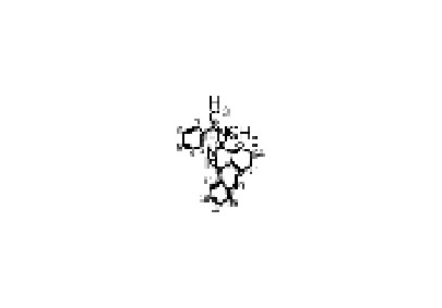 CC(c1ccccc1)N(C)c1nnc(-c2ccccc2F)c2ccccc12